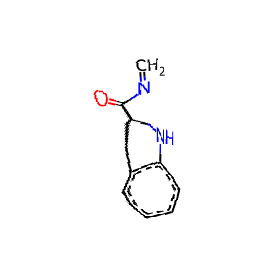 C=NC(=O)C1Cc2ccccc2N1